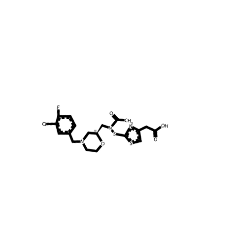 CC(=O)N(C[C@@H]1CN(Cc2ccc(F)c(Cl)c2)CCO1)Sc1nc(CC(=O)O)cs1